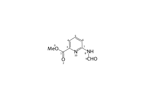 COC(=O)c1cccc(NC=O)n1